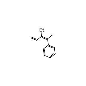 C=CC(CC)=C(C)c1ccccc1